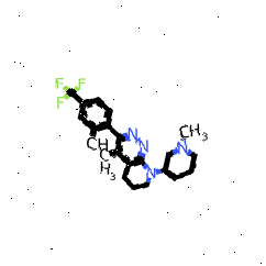 Cc1cc(C(F)(F)F)ccc1-c1nnc2c(c1C)CCCN2C1CCCN(C)C1